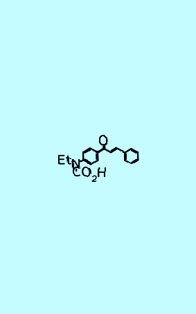 CCN(C(=O)O)c1ccc(C(=O)C=Cc2ccccc2)cc1